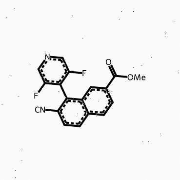 [C-]#[N+]c1ccc2ccc(C(=O)OC)cc2c1-c1c(F)cncc1F